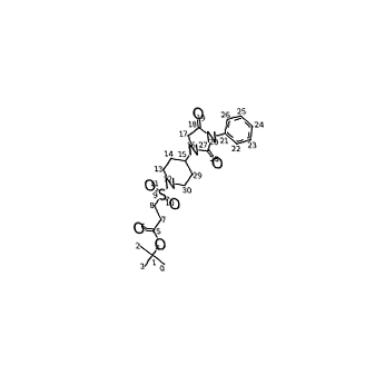 CC(C)(C)OC(=O)CCS(=O)(=O)N1CCC(N2CC(=O)N(c3ccccc3)C2=O)CC1